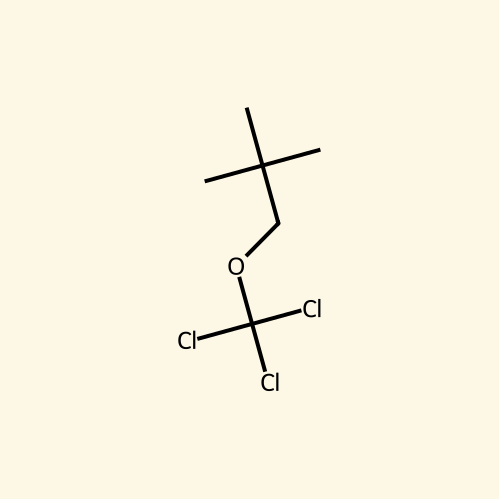 CC(C)(C)COC(Cl)(Cl)Cl